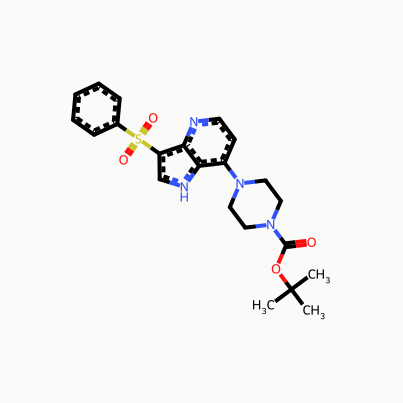 CC(C)(C)OC(=O)N1CCN(c2ccnc3c(S(=O)(=O)c4ccccc4)c[nH]c23)CC1